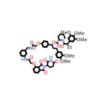 CC[C@H](C(=O)N1CCCC[C@H]1C(=O)OC(CCc1ccc(OC)c(OC)c1)c1ccc(OCC(=O)NCc2cccc(NC(=O)COc3cccc4c3C(=O)N(C3CCC(=O)NC3=O)C4=O)c2)cc1)c1cc(OC)c(OC)c(OC)c1